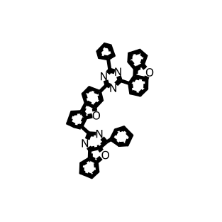 c1ccc(-c2nc(-c3ccc4c(c3)oc3c(-c5nc(-c6ccccc6)c6oc7ccccc7c6n5)cccc34)nc(-c3cccc4oc5ccccc5c34)n2)cc1